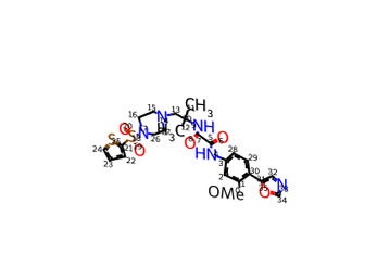 COc1cc(NC(=O)C(=O)NC(C)(C)CN2CCN(S(=O)(=O)c3cccs3)CC2)ccc1-c1cnco1